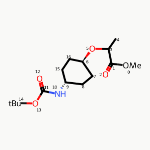 COC(=O)C(C)O[C@H]1CC[C@H](NC(=O)OC(C)(C)C)CC1